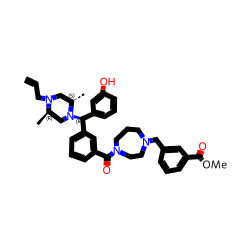 C=CCN1C[C@H](C)N([C@@H](c2cccc(O)c2)c2cccc(C(=O)N3CCCN(Cc4cccc(C(=O)OC)c4)CC3)c2)C[C@H]1C